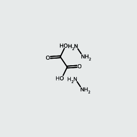 NN.NN.O=C(O)C(=O)O